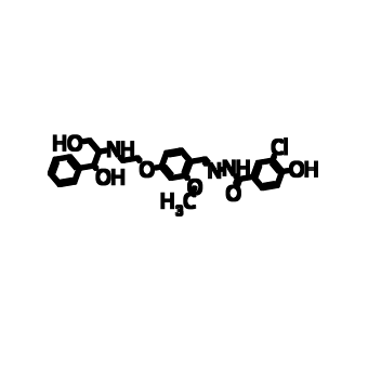 COc1cc(OCCNC(CO)C(O)c2ccccc2)ccc1/C=N/NC(=O)c1ccc(O)c(Cl)c1